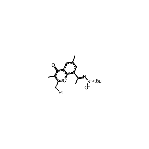 CCSc1oc2c(/C(C)=N/[S@+]([O-])C(C)(C)C)cc(C)cc2c(=O)c1C